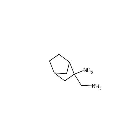 NCC1(N)CC2CCC1C2